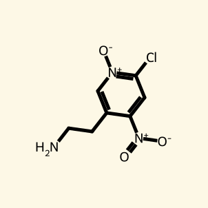 NCCc1c[n+]([O-])c(Cl)cc1[N+](=O)[O-]